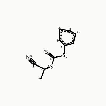 CC(C#N)SC(=S)Sc1ccccc1